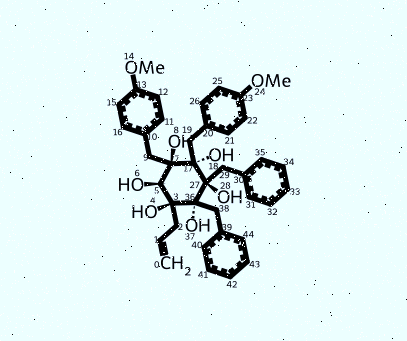 C=CC[C@]1(O)[C@@H](O)[C@](O)(Cc2ccc(OC)cc2)[C@@](O)(Cc2ccc(OC)cc2)[C@](O)(Cc2ccccc2)[C@@]1(O)Cc1ccccc1